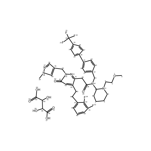 COCCN1CCCCC1N(Cc1ccc(-c2ccc(C(F)(F)F)cc2)cc1)C(=O)Cc1nn(Cc2cnn(C)c2)c(=O)cc1CCc1cccc(F)c1F.O=C(O)C(O)C(O)C(=O)O